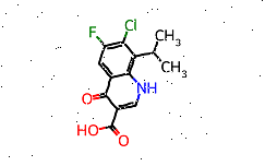 CC(C)c1c(Cl)c(F)cc2c(=O)c(C(=O)O)c[nH]c12